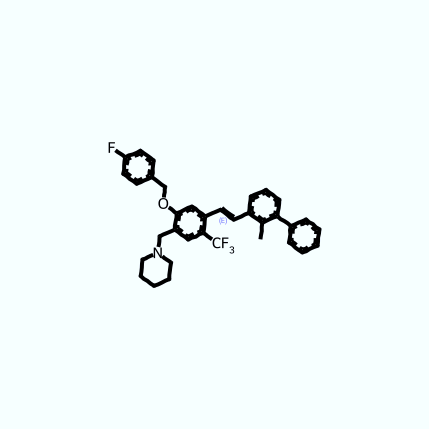 Cc1c(/C=C/c2cc(OCc3ccc(F)cc3)c(CN3CCCCC3)cc2C(F)(F)F)cccc1-c1ccccc1